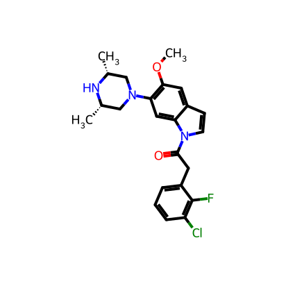 COc1cc2ccn(C(=O)Cc3cccc(Cl)c3F)c2cc1N1C[C@@H](C)N[C@@H](C)C1